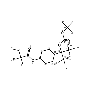 CCC(C)(F)C(=O)OC1CCC(C(OC(=O)OC(C)(C)C)(C(F)(F)F)C(F)(F)F)CC1